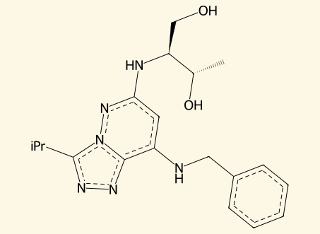 CC(C)c1nnc2c(NCc3ccccc3)cc(N[C@@H](CO)[C@H](C)O)nn12